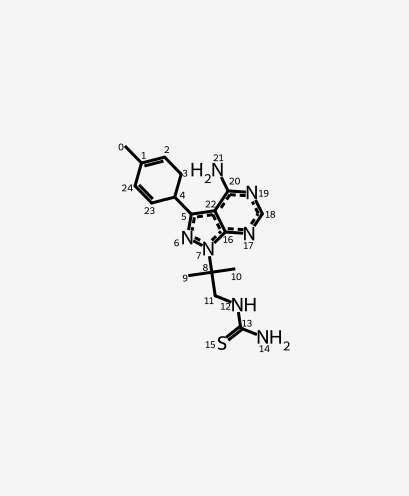 CC1=CCC(c2nn(C(C)(C)CNC(N)=S)c3ncnc(N)c23)C=C1